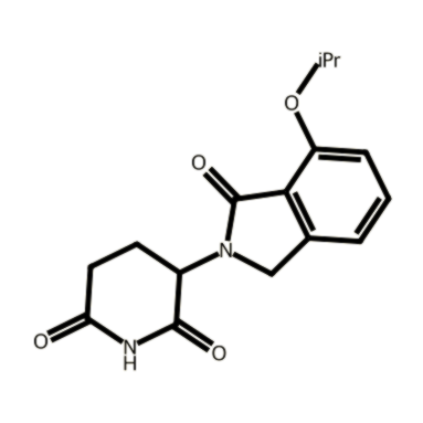 CC(C)Oc1cccc2c1C(=O)N(C1CCC(=O)NC1=O)C2